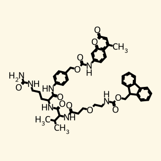 Cc1cc(=O)oc2cc(NC(=O)OCc3ccc(NC(=O)C(CCCNC(N)=O)NC(=O)C(NC(=O)CCOCCNC(=O)OCC4c5ccccc5-c5ccccc54)C(C)C)cc3)ccc12